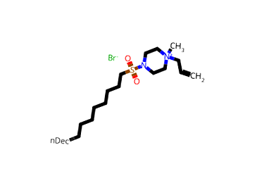 C=CC[N+]1(C)CCN(S(=O)(=O)CCCCCCCCCCCCCCCCCC)CC1.[Br-]